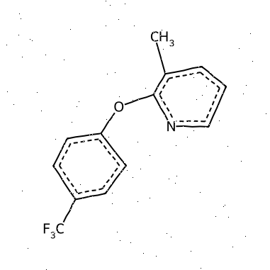 Cc1cccnc1Oc1ccc(C(F)(F)F)cc1